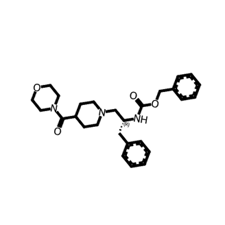 O=C(N[C@H](Cc1ccccc1)CN1CCC(C(=O)N2CCOCC2)CC1)OCc1ccccc1